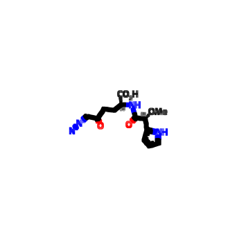 CO[C@@H](C(=O)N[C@@H](CCC(=O)C=[N+]=[N-])C(=O)O)c1ccc[nH]1